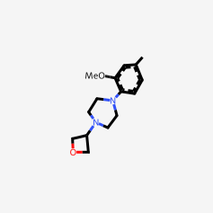 COc1cc(C)ccc1N1CCN(C2COC2)CC1